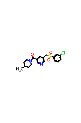 CC1CCN(C(=O)c2cncc(CS(=O)(=O)c3cccc(Cl)c3)c2)CC1